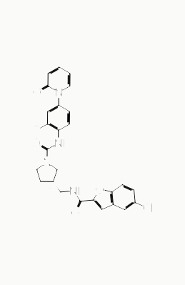 O=C(NC[C@H]1CCN(C(=O)Nc2ccc(-n3ccccc3=O)cc2F)C1)c1cc2cc(Cl)ccc2o1